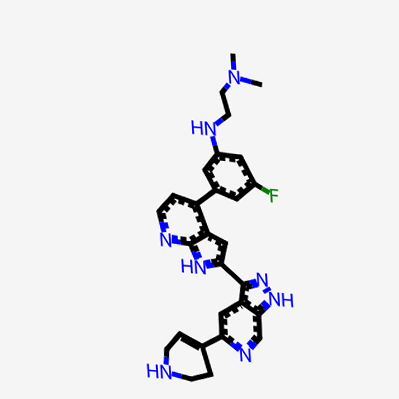 CN(C)CCNc1cc(F)cc(-c2ccnc3[nH]c(-c4n[nH]c5cnc(C6=CCNCC6)cc45)cc23)c1